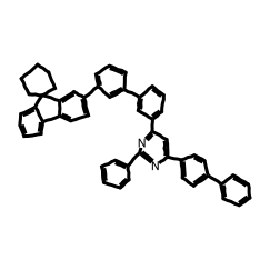 c1ccc(-c2ccc(-c3cc(-c4cccc(-c5cccc(-c6ccc7c(c6)C6(CCCCC6)c6ccccc6-7)c5)c4)nc(-c4ccccc4)n3)cc2)cc1